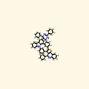 c1ccc(-c2cc(-c3ccc(-c4sc5c(c(-c6ccccc6)nc6ccccc65)c4-c4cccc(-n5c6ccccc6c6ccccc65)c4)cc3)nc(-c3ccccc3)n2)cc1